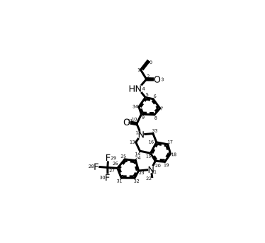 C=CC(=O)Nc1cccc(C(=O)N2CCc3c(cccc3N(C)c3ccc(C(F)(F)F)cc3)C2)c1